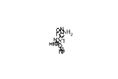 CN(C)C(=O)c1c(N)ccc(-c2cnc3c(c2Cl)[C@@]2(CC[C@@H](n4cccn4)C2)CN3)c1F